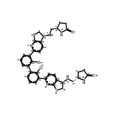 O=C1CC[C@H](CN[C@@H]2COc3nc(-c4cccc(-c5cccc(-c6ccc7c(n6)OC[C@@H]7NC[C@@H]6CCC(=O)N6)c5Cl)c4Cl)ccc32)N1